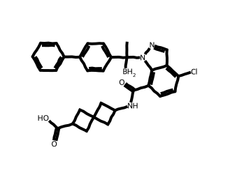 BC(C)(c1ccc(-c2ccccc2)cc1)n1ncc2c(Cl)ccc(C(=O)NC3CC4(C3)CC(C(=O)O)C4)c21